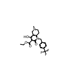 CCOC(=O)c1c(O)c2c(n(Cc3ccc(C(F)(F)F)cc3)c1=O)CCN(C)C2